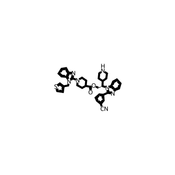 N#Cc1cccc(-c2nc3ccccc3n2[C@H](COC(=O)C2CCN(c3nc4ccccc4n3Cc3ccsc3)CC2)C2CCNCC2)c1